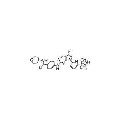 CC(C)(O)c1cccc(-n2cc(F)c3cnc(Nc4ccc(C(=O)NC5CCOCC5)cc4)nc32)n1